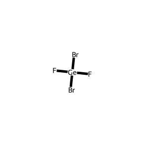 [F][Ge]([F])([Br])[Br]